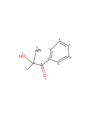 CCCC(C)(O)C(=O)c1ccccc1